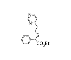 CCOC(=O)C(SCCc1ccncn1)c1ccccc1